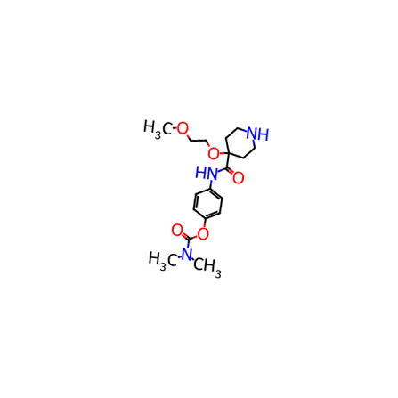 COCCOC1(C(=O)Nc2ccc(OC(=O)N(C)C)cc2)CCNCC1